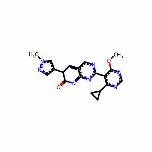 COc1ncnc(C2CC2)c1-c1ncc2c(n1)=NC(=O)C(c1cnn(C)c1)C=2